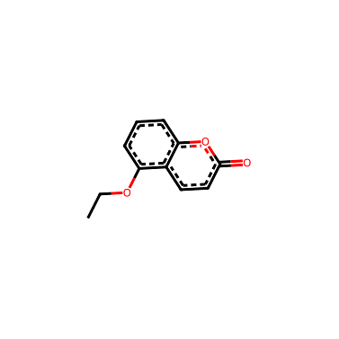 CCOc1cccc2oc(=O)ccc12